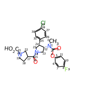 CN(C(=O)Oc1ccc(F)cc1)[C@@H]1CN(C(=O)C2CCN(C(=O)O)C2)C[C@H]1c1ccc(Cl)cc1